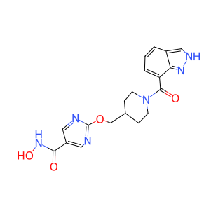 O=C(NO)c1cnc(OCC2CCN(C(=O)c3cccc4c[nH]nc34)CC2)nc1